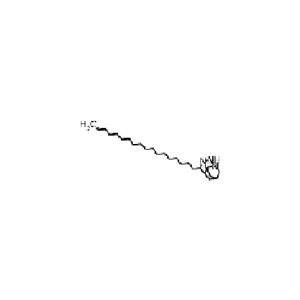 C=CCCCCCCCCCCCCCCCCC1C2CC3CN(C2)NN1C3